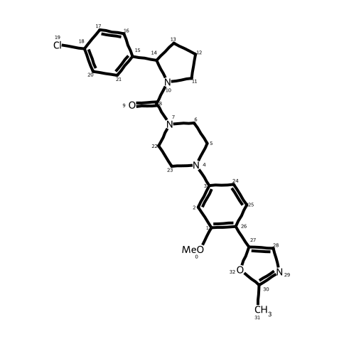 COc1cc(N2CCN(C(=O)N3CCCC3c3ccc(Cl)cc3)CC2)ccc1-c1cnc(C)o1